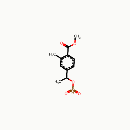 COC(=O)c1ccc(C(C)O[SH](=O)=O)cc1C